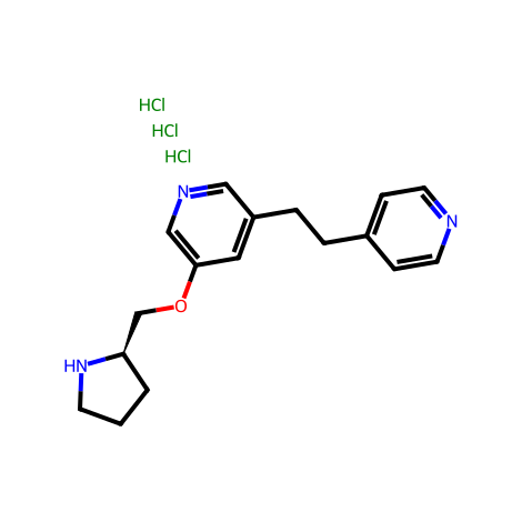 Cl.Cl.Cl.c1cc(CCc2cncc(OC[C@H]3CCCN3)c2)ccn1